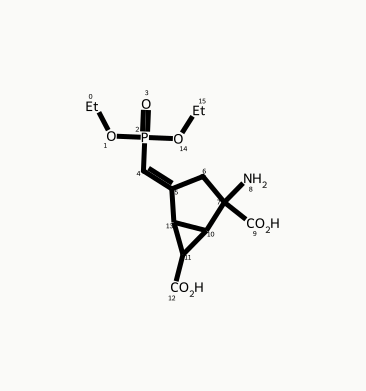 CCOP(=O)(C=C1CC(N)(C(=O)O)C2C(C(=O)O)C12)OCC